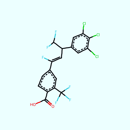 O=C(O)c1ccc(C(F)=CC(c2cc(Cl)c(Cl)c(Cl)c2)C(F)F)cc1C(F)(F)F